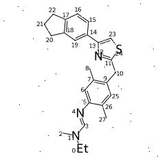 CCN(C)/C=N/c1cc(C)c(Cc2nc(-c3ccc4c(c3)CCC4)cs2)cc1C